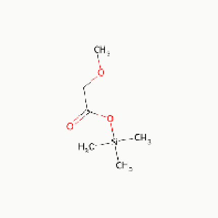 COCC(=O)O[Si](C)(C)C